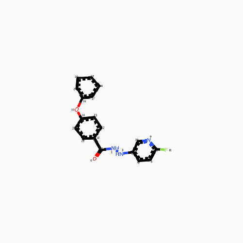 O=C(NNc1ccc(F)nc1)c1ccc(Oc2ccccc2)cc1